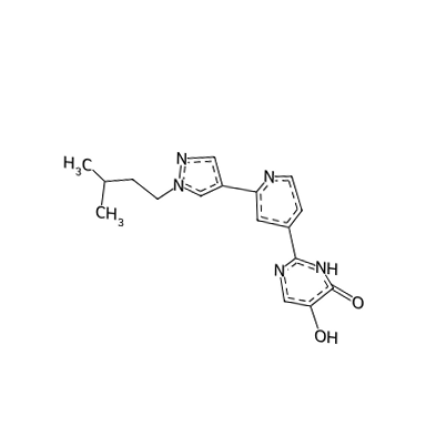 CC(C)CCn1cc(-c2cc(-c3ncc(O)c(=O)[nH]3)ccn2)cn1